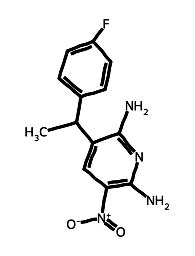 CC(c1ccc(F)cc1)c1cc([N+](=O)[O-])c(N)nc1N